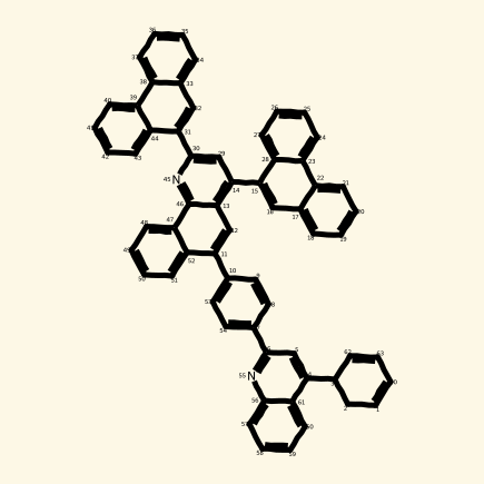 C1=CCC(c2cc(-c3ccc(-c4cc5c(-c6cc7ccccc7c7ccccc67)cc(-c6cc7ccccc7c7ccccc67)nc5c5ccccc45)cc3)nc3ccccc23)C=C1